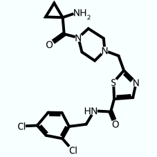 NC1(C(=O)N2CCN(Cc3ncc(C(=O)NCc4ccc(Cl)cc4Cl)s3)CC2)CC1